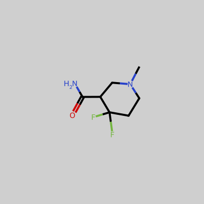 CN1CCC(F)(F)C(C(N)=O)C1